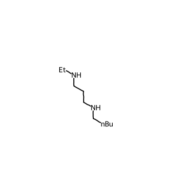 [CH2]CCCCNCCCNCC